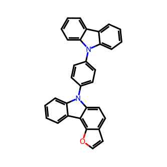 c1ccc2c(c1)c1ccccc1n2-c1ccc(-n2c3ccccc3c3c4occc4ccc32)cc1